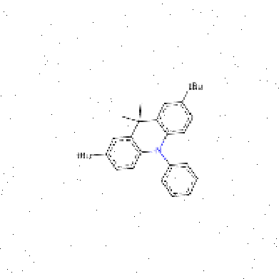 CC(C)(C)c1ccc2c(c1)C(C)(C)c1cc(C(C)(C)C)ccc1N2c1ccccc1